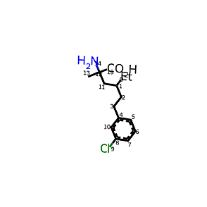 CCC(CCc1cccc(Cl)c1)CC(C)(N)C(=O)O